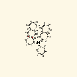 c1ccc(N(c2ccccc2)c2ccc3ccccc3c2-c2cccc3ccccc23)cc1